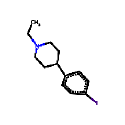 CCN1CCC(c2ccc(I)cc2)CC1